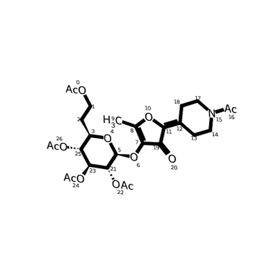 CC(=O)OCC[C@H]1O[C@@H](OC2=C(C)OC(=C3CCN(C(C)=O)CC3)C2=O)[C@H](OC(C)=O)[C@@H](OC(C)=O)[C@@H]1OC(C)=O